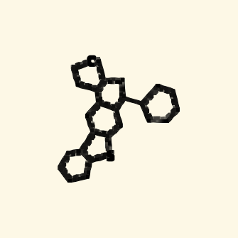 c1ccc(-c2cc3ccccc3c3cc4c(cc23)sc2ccccc24)cc1